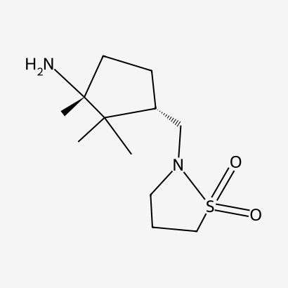 CC1(C)[C@@H](CN2CCCS2(=O)=O)CC[C@@]1(C)N